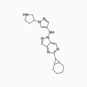 c1nn(C2CCNC2)cc1Nn1ncc2nc(C3C4CCCCC43)ncc21